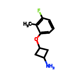 Cc1c(F)cccc1OC1CC(N)C1